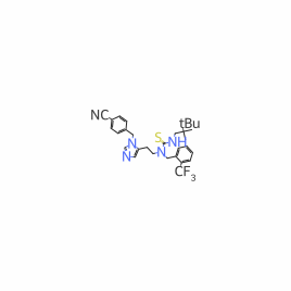 CC(C)(C)C(C)(C)CNC(=S)N(CCc1cncn1Cc1ccc(C#N)cc1)Cc1ccccc1C(F)(F)F